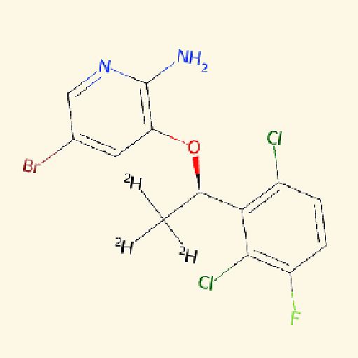 [2H]C([2H])([2H])[C@@H](Oc1cc(Br)cnc1N)c1c(Cl)ccc(F)c1Cl